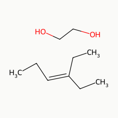 CCC=C(CC)CC.OCCO